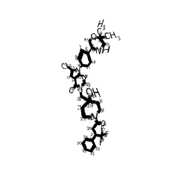 CC1(C)CN[C@@H](c2ccc(-n3c(Cl)cc4c(=O)n(CC5(O)CCN(C(=O)CC(c6ccccc6)C(F)(F)F)CC5)cnc43)cc2)CO1